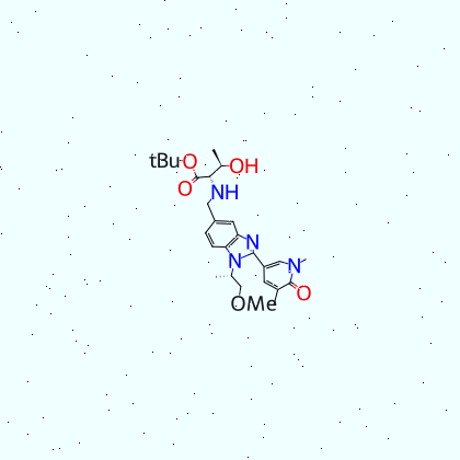 COC[C@H](C)n1c(-c2cc(C)c(=O)n(C)c2)nc2cc(CN[C@H](C(=O)OC(C)(C)C)[C@@H](C)O)ccc21